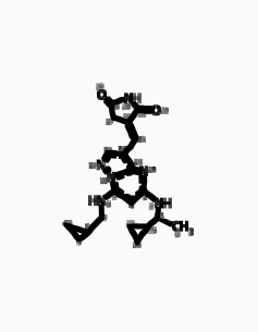 C[C@H](Nc1cc(NCC2CC2)n2ncc(/C=C3\CC(=O)NC3=O)c2n1)C1CC1